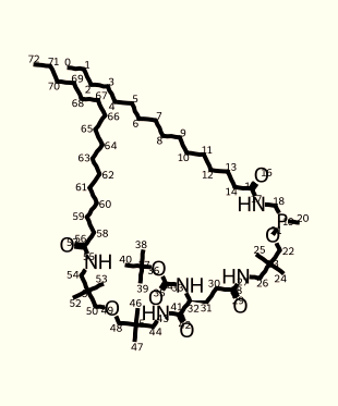 CCCCCCCCCCCCCCCC(=O)NCP(C)OCC(C)(C)CNC(=O)CC[C@H](NC(=O)OC(C)(C)C)C(=O)NCC(C)(C)COCC(C)(C)CNC(=O)CCCCCCCCCCCCCCC